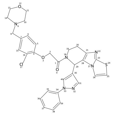 O=C(COc1ccc(CN2CCOCC2)cc1Cl)N1CCc2nc3sccn3c2C1c1cnn(-c2ccccc2)c1